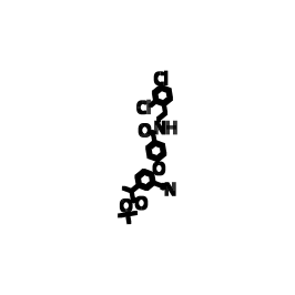 CC(C(=O)OC(C)(C)C)c1ccc(Oc2ccc(C(=O)NCCc3ccc(Cl)cc3Cl)cc2)c(C#N)c1